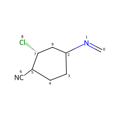 C=NC1CCC(C#N)[C@H](Cl)C1